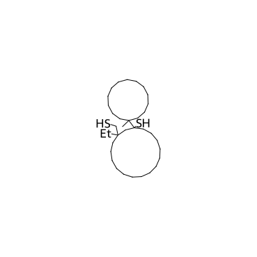 CCC1(CS)CCCCCCCCCCCCCCC(S)(C2(C)CCCCCCCCCCCCC2)C1